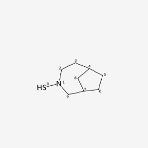 SN1CCC2CCC(C2)C1